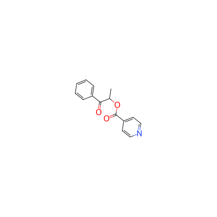 CC(OC(=O)c1ccncc1)C(=O)c1ccccc1